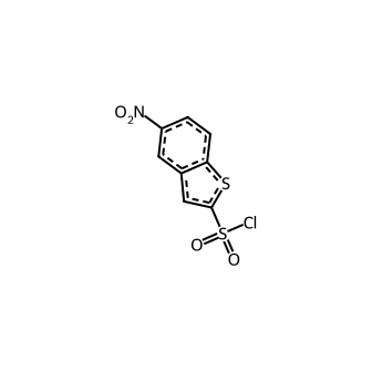 O=[N+]([O-])c1ccc2sc(S(=O)(=O)Cl)cc2c1